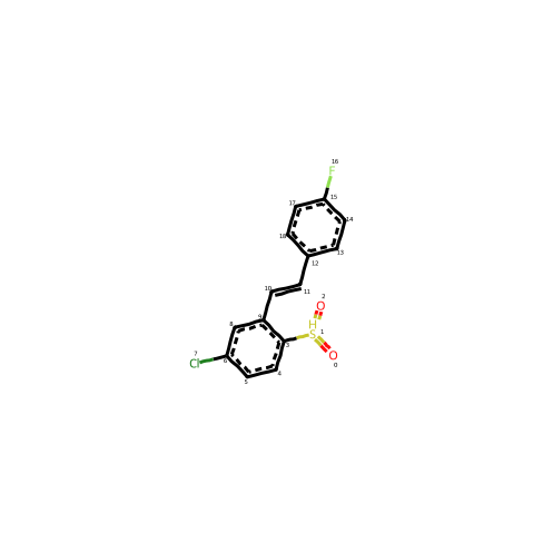 O=[SH](=O)c1ccc(Cl)cc1C=Cc1ccc(F)cc1